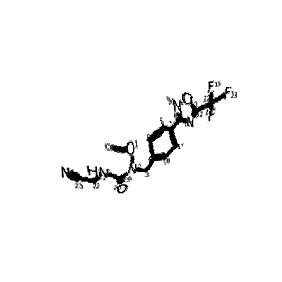 CON(Cc1ccc(-c2noc(C(F)(F)F)n2)cc1)C(=O)NCC#N